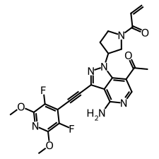 C=CC(=O)N1CCC(n2nc(C#Cc3c(F)c(OC)nc(OC)c3F)c3c(N)ncc(C(C)=O)c32)C1